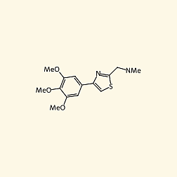 CNCc1nc(-c2cc(OC)c(OC)c(OC)c2)cs1